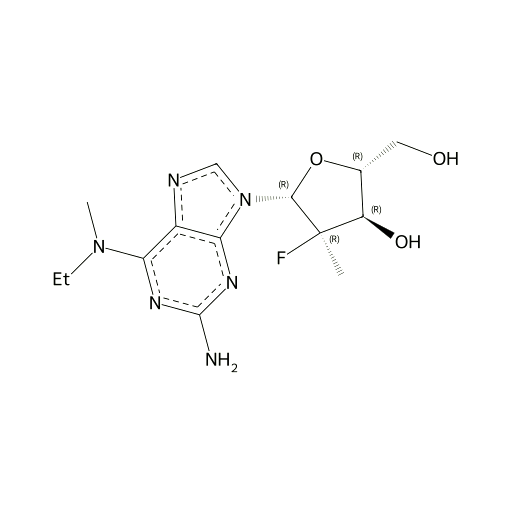 CCN(C)c1nc(N)nc2c1ncn2[C@@H]1O[C@H](CO)[C@@H](O)[C@@]1(C)F